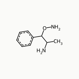 CC(N)C(ON)c1ccccc1